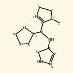 CN1CCN=C1C(NC1C=NNC1)C1CCCO1